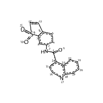 O=C(Nc1ccc2c(c1)S(=O)(=O)C=C2)c1ccnc2ccccc12